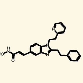 O=C(C=Cc1ccc2c(c1)nc(CCc1ccccc1)n2CCc1ccccn1)NO